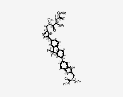 CCCC(=O)N(CCC)Cc1nc2ccc(-c3ccc4c(c3)C(F)(F)c3cc(-c5cnc(CN(CCC)C(=O)C(NC(=O)OC)C(C)C)[nH]5)ccc3-4)cc2[nH]1